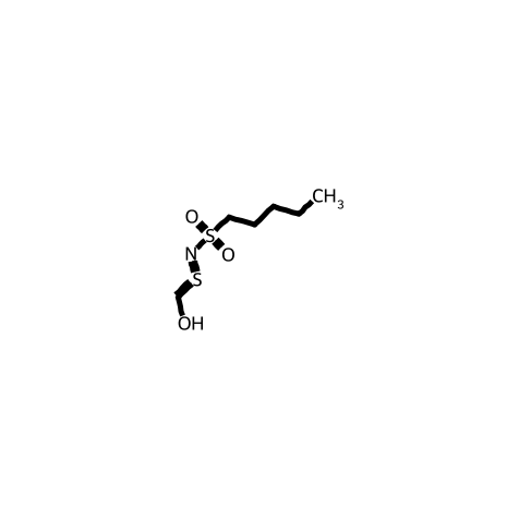 CCCCCS(=O)(=O)N=S=CO